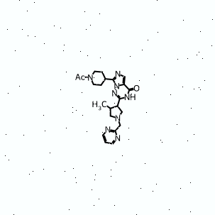 CC(=O)N1CCC(c2ncc3c(=O)[nH]c(C4CN(Cc5ncccn5)CC4C)nn23)CC1